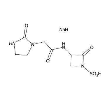 O=C(CN1CCNC1=O)NC1CN(S(=O)(=O)O)C1=O.[NaH]